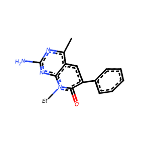 CCn1c(=O)c(-c2ccccc2)cc2c(C)nc(N)nc21